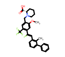 COc1cc(/C(F)=C/c2cccc(-c3ccccc3)c2C)c(C(F)(F)F)cc1CN1CCCC[C@H]1C(=O)O